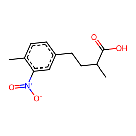 Cc1ccc(CCC(C)C(=O)O)cc1[N+](=O)[O-]